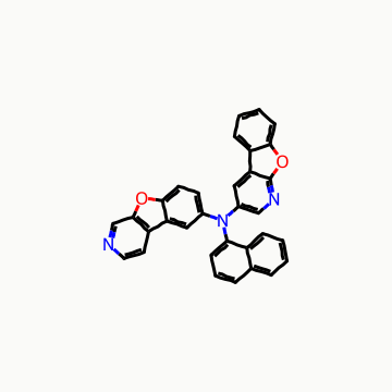 c1ccc2c(N(c3ccc4oc5cnccc5c4c3)c3cnc4oc5ccccc5c4c3)cccc2c1